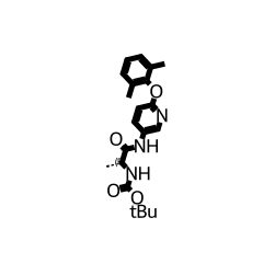 Cc1cccc(C)c1Oc1ccc(NC(=O)[C@@H](C)NC(=O)OC(C)(C)C)cn1